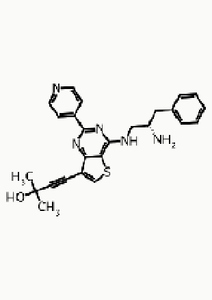 CC(C)(O)C#Cc1csc2c(NC[C@@H](N)Cc3ccccc3)nc(-c3ccncc3)nc12